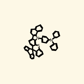 c1ccc(N(c2ccccc2)c2ccc(-n3c4c5c(ccc4c4ccc6ccccc6c43)C3(c4ccccc4S5)c4ccccc4-c4ccccc43)cc2)cc1